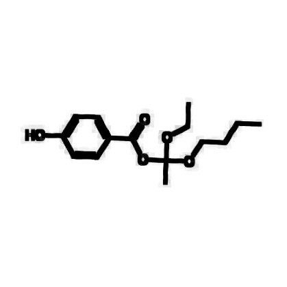 CCCCOC(C)(OCC)OC(=O)c1ccc(O)cc1